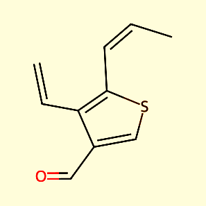 C=Cc1c(C=O)csc1/C=C\C